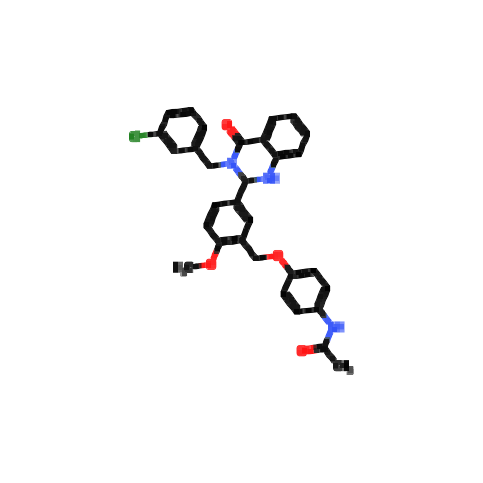 COc1ccc(C2Nc3ccccc3C(=O)N2Cc2cccc(Cl)c2)cc1COc1ccc(NC(C)=O)cc1